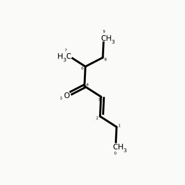 CC/C=C/C(=O)C(C)CC